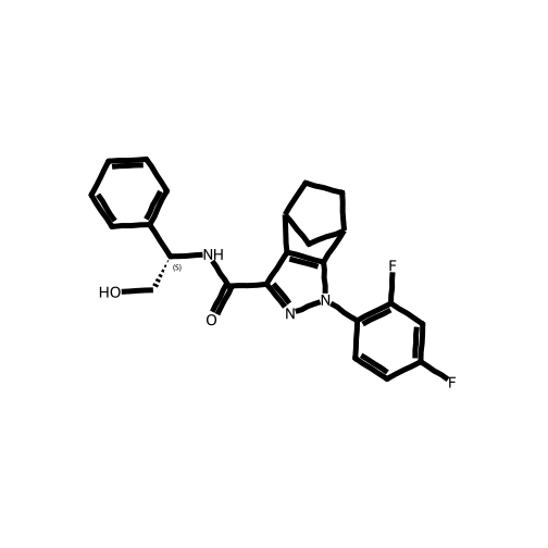 O=C(N[C@H](CO)c1ccccc1)c1nn(-c2ccc(F)cc2F)c2c1C1CCC2C1